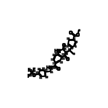 COC(=O)c1ccc(C(C)n2c(=O)[nH]c3ccc(C(=O)NCc4ccc(OC(F)(F)F)cc4)cc3c2=O)cc1